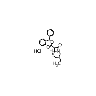 C=CC1CS[C@@H]2C(C(=O)OC(c3ccccc3)c3ccccc3)C(=O)N2C1.Cl